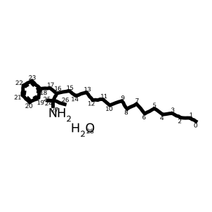 CCCCCCCCCCCCCCCCC(Cc1ccccc1)C(C)(C)N.O